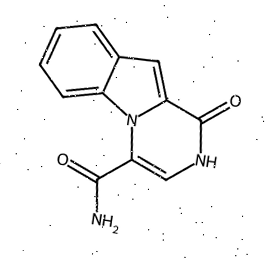 NC(=O)c1c[nH]c(=O)c2cc3ccccc3n12